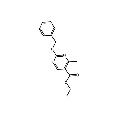 CCOC(=O)c1cnc(OCc2ccccc2)nc1C